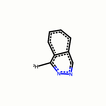 [2H]c1nncc2ccccc12